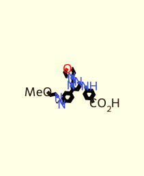 COCCn1cnc2ccc(-c3cc(Nc4ccc(C(=O)O)cc4)nc(N4CCOCC4)n3)cc21